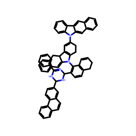 C1=Cc2c(ccc(C3N=C(c4ccccc4)NC(c4ccc5c(ccc6ccccc65)c4)N3)c2N2C3=Cc4ccccc4CC3C3=C2CCC(n2c4ccccc4c4cc5ccccc5cc42)=C3)CC1